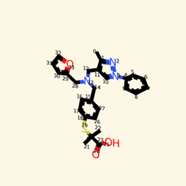 Cc1nn(-c2ccccc2)cc1CN(Cc1ccc(SC(C)(C)C(=O)O)cc1)Cc1ccco1